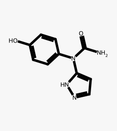 NC(=O)N(c1ccc(O)cc1)c1ccn[nH]1